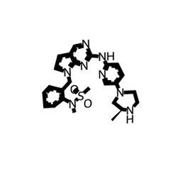 C[C@H]1CN(c2ccc(Nc3ncc4ccn(Cc5ccccc5N(C)S(C)(=O)=O)c4n3)nc2)CCN1